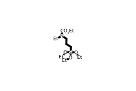 CCOC(=O)N(CC)CCC[Si](OCC)(OCC)OCC